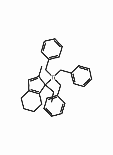 CC[C]1([Ti]([CH2]c2ccccc2)([CH2]c2ccccc2)[CH2]c2ccccc2)C(C)=CC2=C1CCCC2